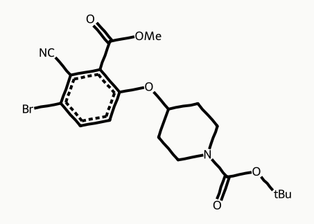 COC(=O)c1c(OC2CCN(C(=O)OC(C)(C)C)CC2)ccc(Br)c1C#N